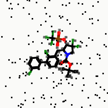 CC(C)(C)OC(=O)N1CC(F)(F)[C@@H](OS(=O)(=O)C(F)(F)F)[C@@H]1Cc1cccc(-c2cccc(F)c2)c1F